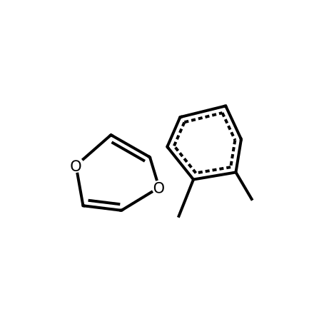 C1=COC=CO1.Cc1ccccc1C